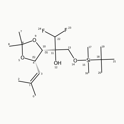 CC(C)=C[C@@H]1OC(C)(C)O[C@@H]1C(O)(CO[Si](C)(C)C(C)(C)C)C(F)F